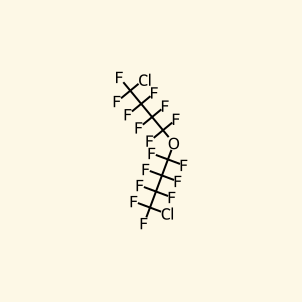 FC(F)(Cl)C(F)(F)C(F)(F)C(F)(F)OC(F)(F)C(F)(F)C(F)(F)C(F)(F)Cl